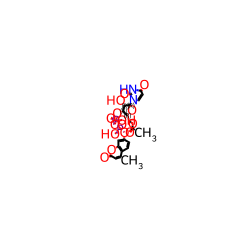 CC(=O)OC[C@H]1O[C@@H](n2ccc(=O)[nH]c2=O)[C@H](O)[C@@H]1OP(=O)(O)OP(=O)(O)Oc1ccc2c(C)cc(=O)oc2c1